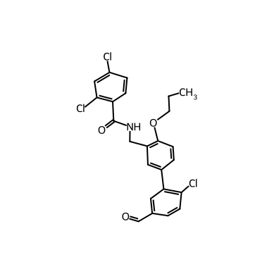 CCCOc1ccc(-c2cc(C=O)ccc2Cl)cc1CNC(=O)c1ccc(Cl)cc1Cl